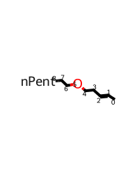 CC=CCCOCCCCCCC